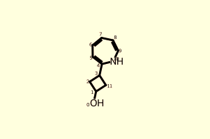 OC1CC(C2=CC=CC=CN2)C1